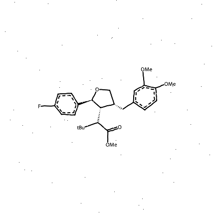 COC(=O)C([C@H]1[C@@H](Cc2ccc(OC)c(OC)c2)CO[C@@H]1c1ccc(F)cc1)C(C)(C)C